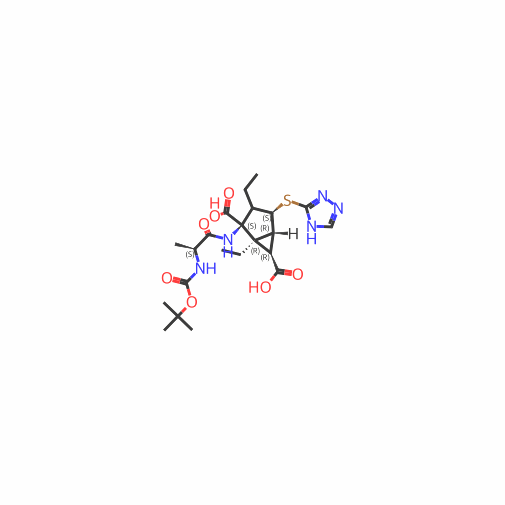 CCC1[C@@H](Sc2nnc[nH]2)[C@@H]2[C@@H](C(=O)O)[C@@]2(CC)[C@]1(NC(=O)[C@H](C)NC(=O)OC(C)(C)C)C(=O)O